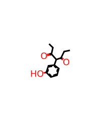 CCC(=O)C(C(=O)CC)c1cccc(O)c1